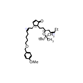 CC/C=C\C[C@H](CCC1C(=O)C=C[C@@H]1C/C=C\CCCCOCc1ccc(OC)cc1)O[Si](C)(C)C(C)(C)C